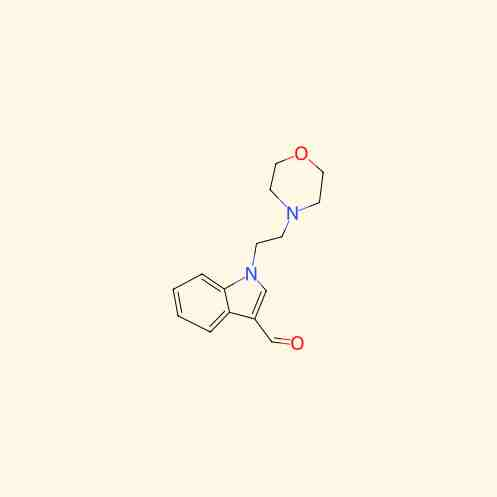 O=Cc1cn(CCN2CCOCC2)c2ccccc12